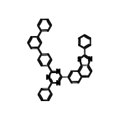 c1ccc(-c2cccc(-c3ccc(-c4nc(-c5ccccc5)nc(-c5ccc6ccc7nc(-c8ccccc8)sc7c6c5)n4)cc3)c2)cc1